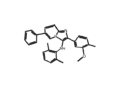 COc1cc(-c2nc3ccc(-c4ccccc4)cn3c2Nc2c(C)cccc2C)ccc1C